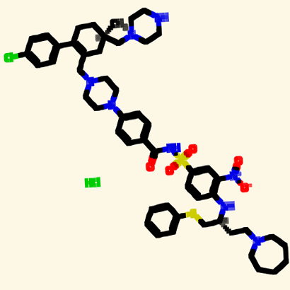 C[C@@]1(CN2CCNCC2)CCC(c2ccc(Cl)cc2)=C(CN2CCN(c3ccc(C(=O)NS(=O)(=O)c4ccc(N[C@H](CCN5CCCCCC5)CSc5ccccc5)c([N+](=O)[O-])c4)cc3)CC2)C1.Cl